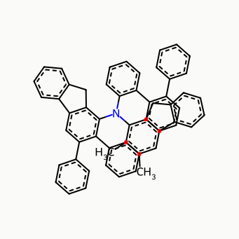 Cc1cc2c(c(N(c3ccccc3-c3ccccc3-c3ccccc3)c3c4c(cc(-c5ccccc5)c3-c3ccccc3)-c3ccccc3C4)c1C)Cc1ccccc1-2